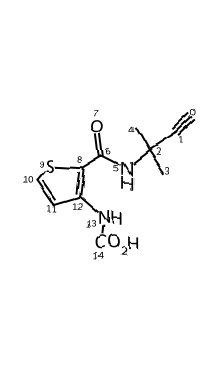 C#CC(C)(C)NC(=O)c1sccc1NC(=O)O